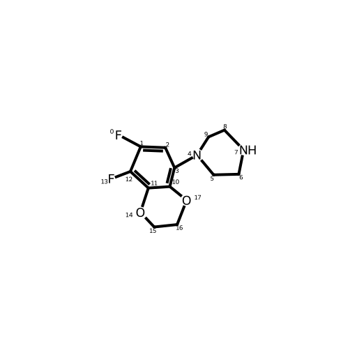 Fc1cc(N2CCNCC2)c2c(c1F)OCCO2